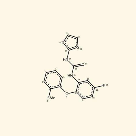 CSc1ccccc1Oc1ccc(F)cc1NC(=O)Nc1nccs1